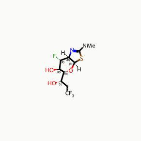 CNC1=N[C@@H]2[C@@H](F)[C@H](O)[C@@H]([C@@H](O)CC(F)(F)F)O[C@@H]2S1